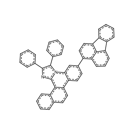 c1ccc(-c2nc3c4c5ccccc5ccc4c4ccc(-c5ccc6c7c(cccc57)-c5ccccc5-6)cc4n3c2-c2ccccc2)cc1